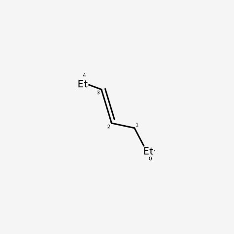 C[CH]C/C=C/CC